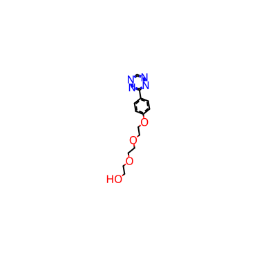 OCCOCCOCCOc1ccc(-c2nncnn2)cc1